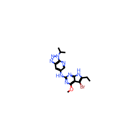 CCc1[nH]c2nc(Nc3cnc4c(c3)nnn4C(C)C)nc(OC)c2c1Br